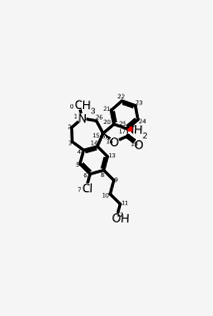 CN1CCc2cc(Cl)c(CCCO)cc2[C@@](OC(N)=O)(c2ccccc2)C1